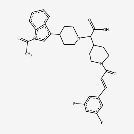 CC(=O)n1cc(C2CCN(C(C(=O)O)C3CCN(C(=O)C=Cc4cc(F)cc(F)c4)CC3)CC2)c2ccccc21